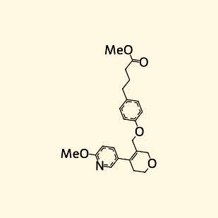 COC(=O)CCCc1ccc(OCC2=C(c3ccc(OC)nc3)CCOC2)cc1